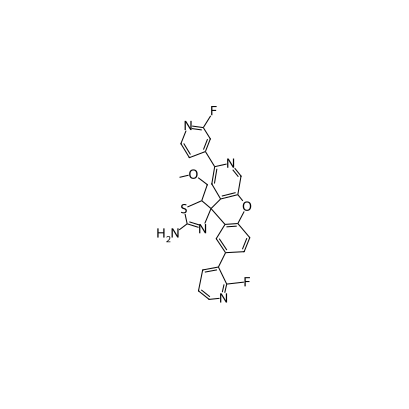 COCC1SC(N)=NC12c1cc(-c3cccnc3F)ccc1Oc1cnc(-c3ccnc(F)c3)cc12